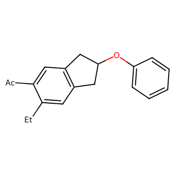 CCc1cc2c(cc1C(C)=O)CC(Oc1ccccc1)C2